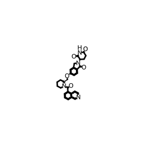 O=C1CCC(N2Cc3cc(OC[C@@H]4CCCCN4C(=O)c4cccc5cnccc45)ccc3C2=O)C(=O)N1